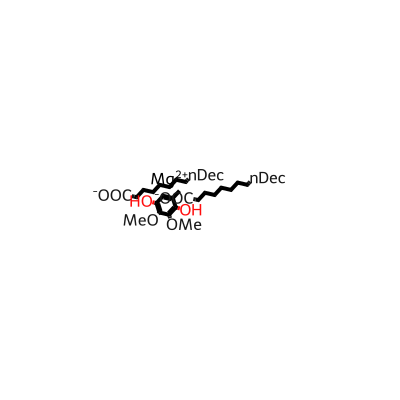 CCCCCCCCCCCCCCCCCC(=O)[O-].CCCCCCCCCCCCCCCCCC(=O)[O-].COc1c(O)cc(C)c(O)c1OC.[Mg+2]